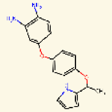 CC(Oc1ccc(Oc2ccc(N)c(N)c2)cc1)c1ccc[nH]1